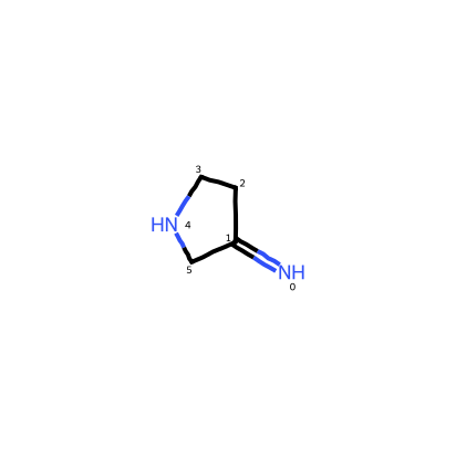 N=C1CCNC1